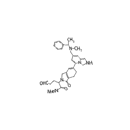 CNC(=O)C(CCC=O)N1CC2=C(CCC(C3=CC(CN(C)C(C)c4ccccc4)=CC4=CNCN43)=C2)C1=O